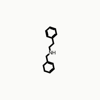 C1=CCCC(CNCCc2ccccc2)=C1